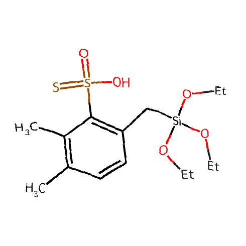 CCO[Si](Cc1ccc(C)c(C)c1S(=O)(O)=S)(OCC)OCC